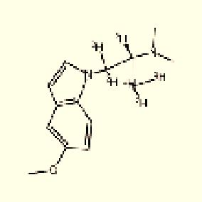 [2H]C([2H])([2H])[C@@]([2H])(N(C)C)C([2H])([2H])n1ccc2cc(OC)ccc21